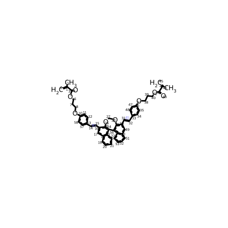 C=C(C)C(=O)OCCCOc1ccc(/C=C/c2cc3ccccc3c3c2OCOc2c(/C=C/c4ccc(OCCCOC(=O)C(=C)C)cc4)cc4ccccc4c2-3)cc1